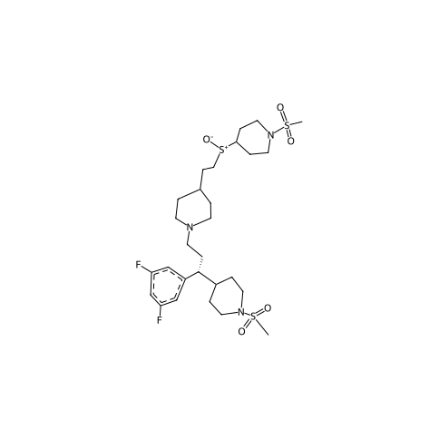 CS(=O)(=O)N1CCC([C@@H](CCN2CCC(CC[S+]([O-])C3CCN(S(C)(=O)=O)CC3)CC2)c2cc(F)cc(F)c2)CC1